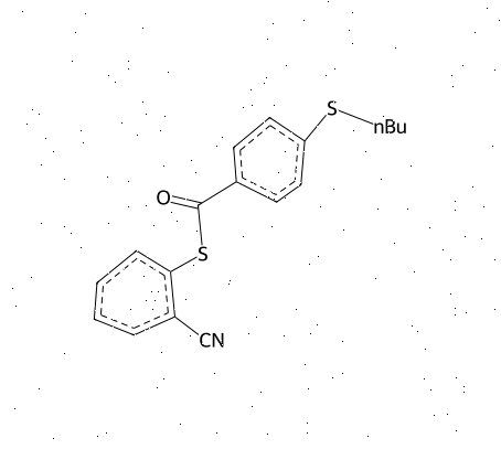 CCCCSc1ccc(C(=O)Sc2ccccc2C#N)cc1